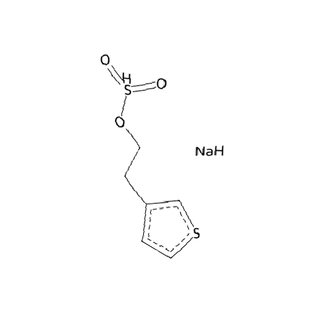 O=[SH](=O)OCCc1ccsc1.[NaH]